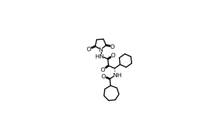 O=C(NN1C(=O)CCC1=O)C(=O)[C@@H](NC(=O)C1CCCCCC1)C1CCCCC1